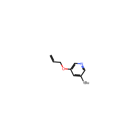 C=CCOc1cncc(C(C)(C)C)c1